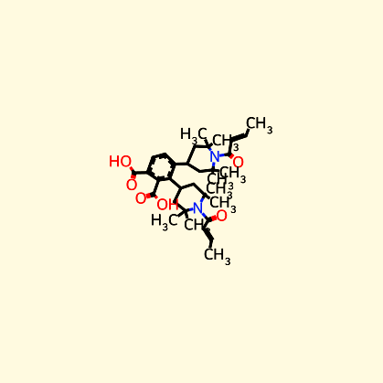 CC=CC(=O)N1C(C)(C)CC(c2ccc(C(=O)O)c(C(=O)O)c2C2CC(C)(C)N(C(=O)C=CC)C(C)(C)C2)CC1(C)C